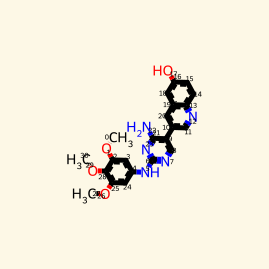 COc1cc(Nc2ncc(-c3cnc4ccc(O)cc4c3)c(N)n2)cc(OC)c1OC